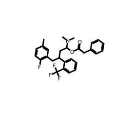 Cc1ccc(F)c(CC(CC(OC(=O)Cc2ccccc2)N(C)C)c2ccccc2C(F)(F)F)c1